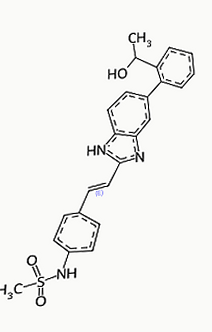 CC(O)c1ccccc1-c1ccc2[nH]c(/C=C/c3ccc(NS(C)(=O)=O)cc3)nc2c1